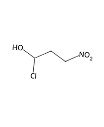 O=[N+]([O-])CCC(O)Cl